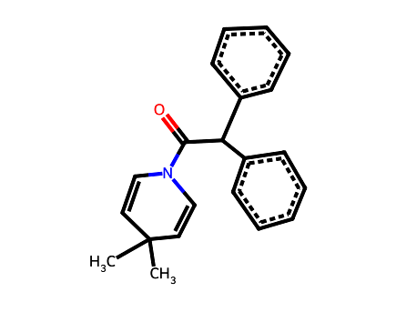 CC1(C)C=CN(C(=O)C(c2ccccc2)c2ccccc2)C=C1